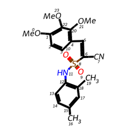 COc1ccc(C=C(C#N)S(=O)(=O)Nc2ccc(C)cc2C)c(OC)c1OC